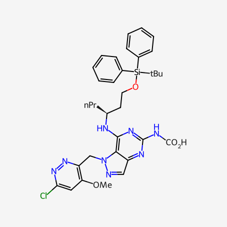 CCC[C@@H](CCO[Si](c1ccccc1)(c1ccccc1)C(C)(C)C)Nc1nc(NC(=O)O)nc2cnn(Cc3nnc(Cl)cc3OC)c12